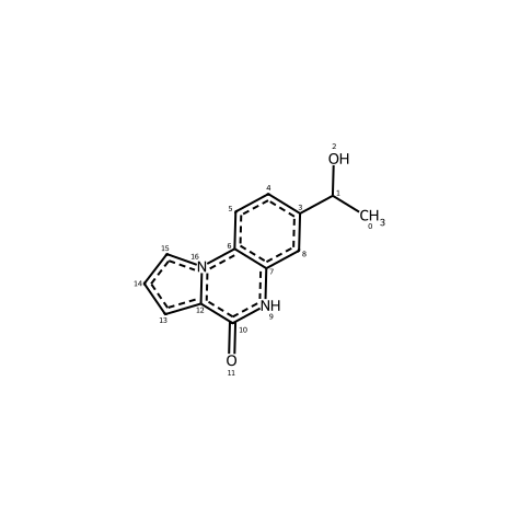 CC(O)c1ccc2c(c1)[nH]c(=O)c1cccn12